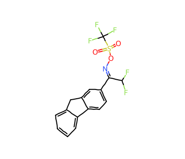 O=S(=O)(ON=C(c1ccc2c(c1)Cc1ccccc1-2)C(F)F)C(F)(F)F